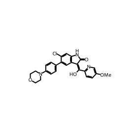 COc1ccc(C(O)=C2C(=O)Nc3cc(Cl)c(-c4ccc(N5CCOCC5)cc4)cc32)nc1